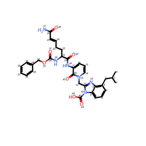 CC(C)Cc1cccc2c1nc(Cn1cccc(NC(=O)C(CC/C=C/C(N)=O)NC(=O)OCc3ccccc3)c1=O)n2C(=O)O